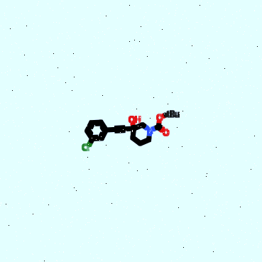 CC(C)(C)OC(=O)N1CCCC(O)(C#Cc2cccc(Cl)c2)C1